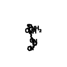 Nc1ccsc1C(=O)NCC=CCOc1cc(CN2CCCCC2)ccn1